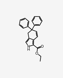 CCOC(=O)c1[nH]cc2c1C=CC(c1ccccc1)(c1ccccc1)C2